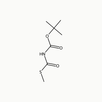 CSC(=O)NC(=O)OC(C)(C)C